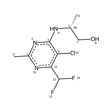 Cc1nc(N[C@H](C)CO)c(Cl)c(C(F)F)n1